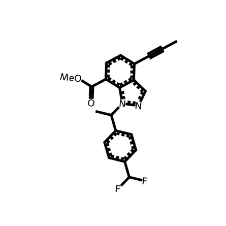 CC#Cc1ccc(C(=O)OC)c2c1cnn2C(C)c1ccc(C(F)F)cc1